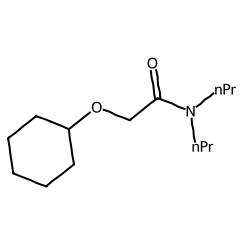 CCCN(CCC)C(=O)COC1CCCCC1